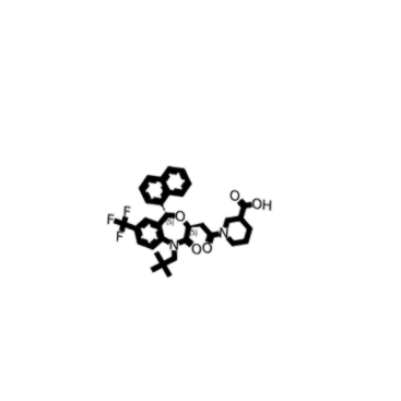 CC(C)(C)CN1C(=O)[C@H](CC(=O)N2CCCC(C(=O)O)C2)O[C@@H](c2cccc3ccccc23)c2cc(C(F)(F)F)ccc21